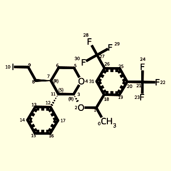 CC(O[C@H]1OCC[C@H](CCI)[C@H]1c1ccccc1)c1cc(C(F)(F)F)cc(C(F)(F)F)c1